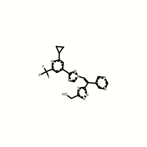 OCc1nnc(C(=Cn2cnc(-c3cc(C4CC4)nc(C(F)(F)F)c3)n2)c2cncnc2)s1